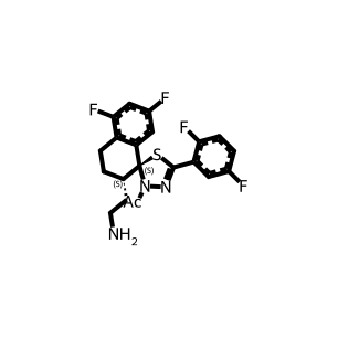 CC(=O)N1N=C(c2cc(F)ccc2F)S[C@@]12c1cc(F)cc(F)c1CC[C@H]2CCN